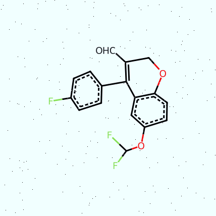 O=CC1=C(c2ccc(F)cc2)c2cc(OC(F)F)ccc2OC1